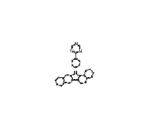 c1ccc2cc3c(cc2c1)c1ccc2ccccc2c1n3-c1ccc(-c2ncncn2)cc1